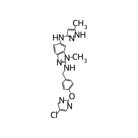 Cc1cc(Nc2ccc3nc(NCc4ccc(Oc5ncc(Cl)cn5)cc4)n(C)c3c2)n[nH]1